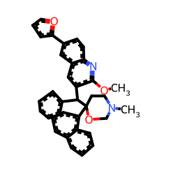 COc1nc2ccc(-c3ccco3)cc2cc1C(c1ccccc1)C1(c2cccc3ccccc23)CCN(C)CO1